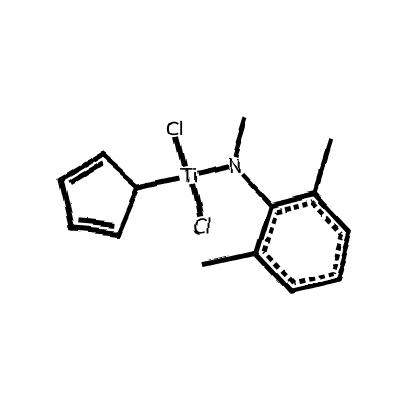 Cc1cccc(C)c1[N](C)[Ti]([Cl])([Cl])[CH]1C=CC=C1